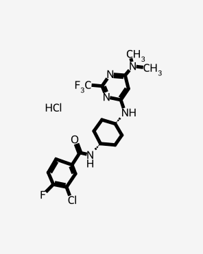 CN(C)c1cc(N[C@H]2CC[C@@H](NC(=O)c3ccc(F)c(Cl)c3)CC2)nc(C(F)(F)F)n1.Cl